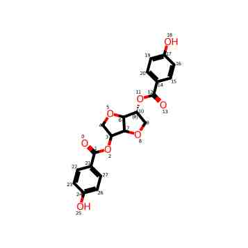 O=C(OC1COC2C1OC[C@H]2OC(=O)c1ccc(O)cc1)c1ccc(O)cc1